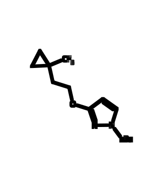 CCCCn1ccc(OCCC2(C(F)(F)F)CC2)n1